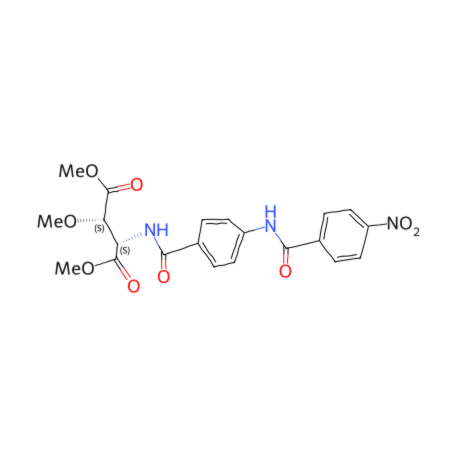 COC(=O)[C@@H](NC(=O)c1ccc(NC(=O)c2ccc([N+](=O)[O-])cc2)cc1)[C@H](OC)C(=O)OC